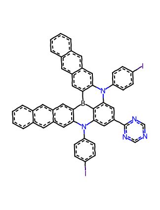 Ic1ccc(N2c3cc4cc5ccccc5cc4cc3B3c4cc5cc6ccccc6cc5cc4N(c4ccc(I)cc4)c4cc(-c5ncncn5)cc2c43)cc1